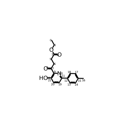 CCOC(=O)CCC(=O)c1nc(-c2ccc(C)cc2)ccc1O